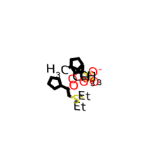 CC12CCC(C(S(=O)(=O)[O-])C1=O)C2(C)C.CC[S+](CC)CC(=O)C1CCCC1